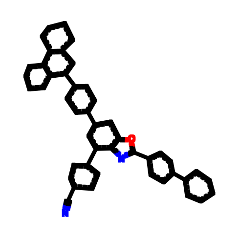 N#Cc1ccc(-c2cc(-c3ccc(-c4cc5ccccc5c5ccccc45)cc3)cc3oc(-c4ccc(-c5ccccc5)cc4)nc23)cc1